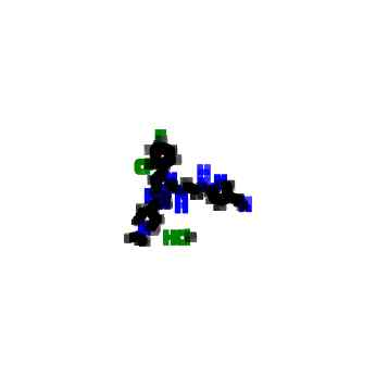 CC(C)N1CCC(c2nc3cc(-c4ccc(F)cc4Cl)nc(NCCNc4ccc(C#N)cn4)n3n2)CC1.Cl